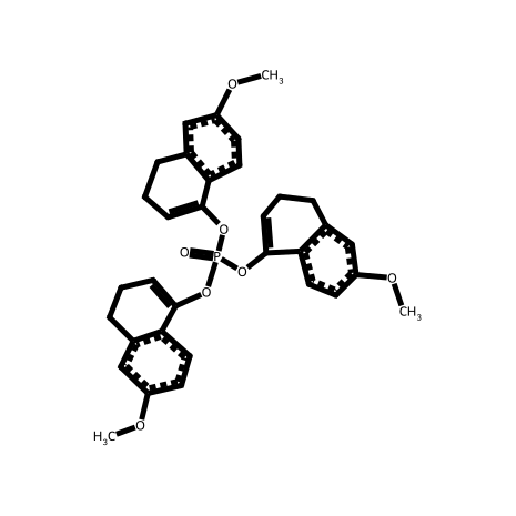 COc1ccc2c(c1)CCC=C2OP(=O)(OC1=CCCc2cc(OC)ccc21)OC1=CCCc2cc(OC)ccc21